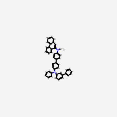 CN(c1ccc(-c2ccc(N(c3ccccc3)c3cccc(-c4ccccc4)c3)cc2)cc1)c1cc2ccccc2c2ccccc12